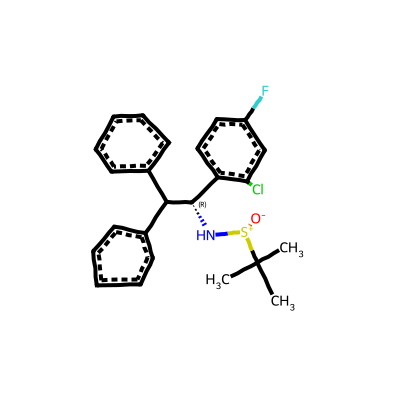 CC(C)(C)[S+]([O-])N[C@@H](c1ccc(F)cc1Cl)C(c1ccccc1)c1ccccc1